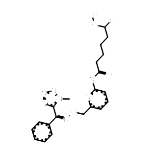 CCCC(CCCCC(=O)Nc1cccc(CO/N=C(/c2ccccc2)c2nnnn2C)n1)OC(C)C